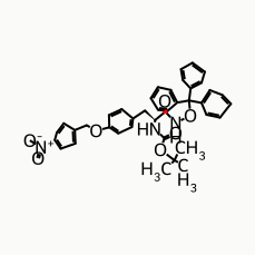 CC(C)(C)OC(=O)N[C@@H](Cc1ccc(OCc2ccc([N+](=O)[O-])cc2)cc1)C(=O)NOC(c1ccccc1)(c1ccccc1)c1ccccc1